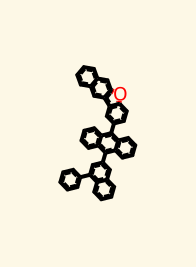 c1ccc(-c2cc(-c3c4ccccc4c(-c4ccc5oc6cc7ccccc7cc6c5c4)c4ccccc34)cc3ccccc23)cc1